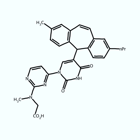 CCCc1ccc2c(c1)C=Cc1cc(C)ccc1C2c1cn(-c2ccnc(N(C)CC(=O)O)n2)c(=O)[nH]c1=O